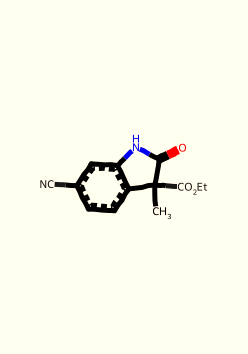 CCOC(=O)C1(C)C(=O)Nc2cc(C#N)ccc21